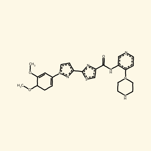 COC1=CC(n2ccc(-c3nc(C(=O)Nc4cnccc4N4CCNCC4)cs3)n2)=CCC1OC